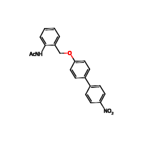 CC(=O)Nc1ccccc1COc1ccc(-c2ccc([N+](=O)[O-])cc2)cc1